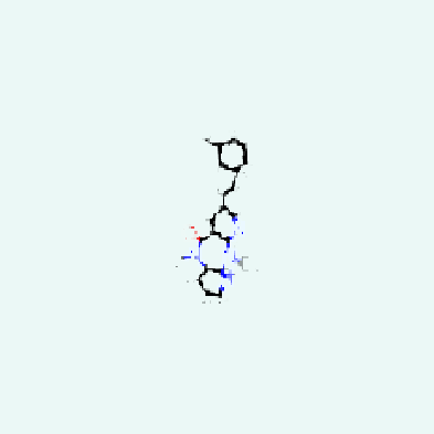 CCN1c2ncc(/C=C/c3cccc(C)c3)cc2C(=O)N(C)c2cccnc21